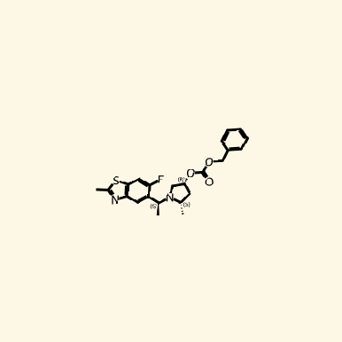 Cc1nc2cc([C@H](C)N3C[C@H](OC(=O)OCc4ccccc4)C[C@@H]3C)c(F)cc2s1